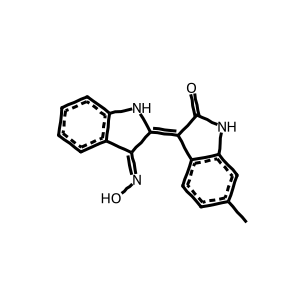 Cc1ccc2c(c1)NC(=O)/C2=C1\Nc2ccccc2\C1=N/O